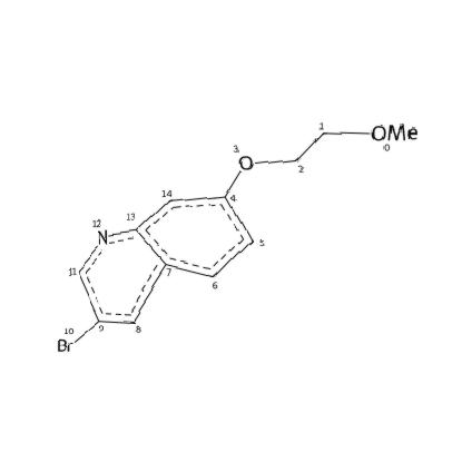 COCCOc1ccc2cc(Br)cnc2c1